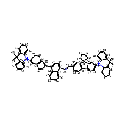 CC1(C)C2=C(CCC=C2)N(c2ccc3c(c2)C2(CCCC2)c2cc(/C=C/c4ccc(-c5ccc6c(c5)CCC(N5c7ccccc7C(C)(C)c7ccccc75)=C6)c5ccccc45)ccc2-3)c2ccccc21